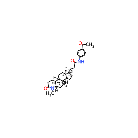 CC(=O)c1ccc(NC(=O)CC[C@H]2CC[C@H]3[C@@H]4CC[C@H]5N(C)C(=O)CC[C@]5(C)[C@H]4CC[C@]23C)cc1